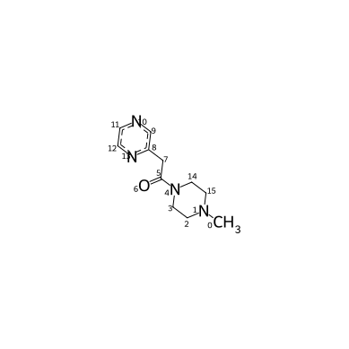 CN1CCN(C(=O)Cc2cnccn2)CC1